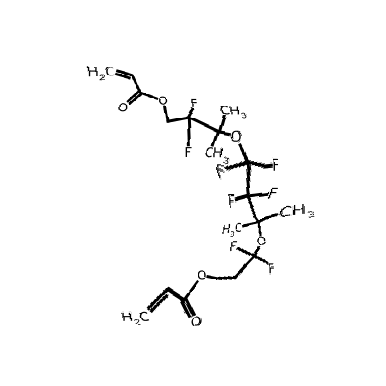 C=CC(=O)OCC(F)(F)OC(C)(C)C(F)(F)C(F)(F)OC(C)(C)C(F)(F)COC(=O)C=C